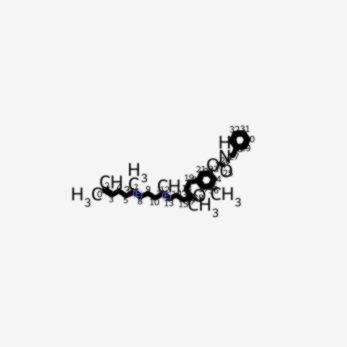 CC(C)=CCC/C(C)=C/CC/C(C)=C/CC[C@]1(C)CCc2cc(OC(=O)NCc3ccccc3)cc(C)c2O1